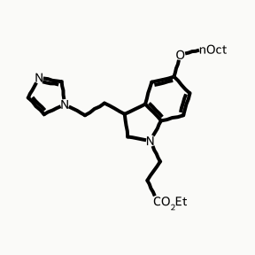 CCCCCCCCOc1ccc2c(c1)C(CCn1ccnc1)CN2CCC(=O)OCC